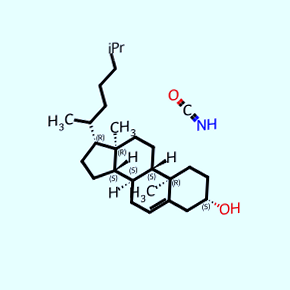 CC(C)CCCC(C)[C@H]1CC[C@H]2[C@@H]3CC=C4C[C@@H](O)CC[C@]4(C)[C@H]3CC[C@]12C.N=C=O